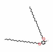 [CH2]c1ccc(OCCCCCCCCCCCCCCCCCCCCCC)cc1OCCCCCCCCCCCCCCCCCCCCCC